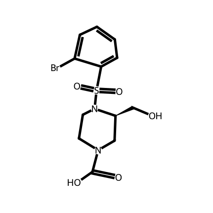 O=C(O)N1CCN(S(=O)(=O)c2ccccc2Br)[C@@H](CO)C1